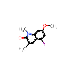 COc1cc(I)c2cc(C)c(=O)n(C)c2c1